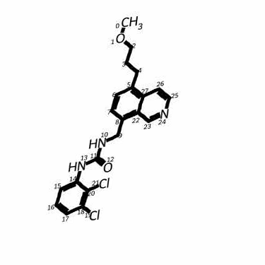 COCCCc1ccc(CNC(=O)Nc2cccc(Cl)c2Cl)c2cnccc12